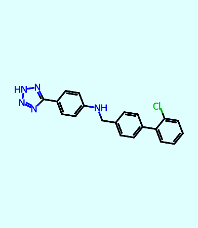 Clc1ccccc1-c1ccc(CNc2ccc(-c3nn[nH]n3)cc2)cc1